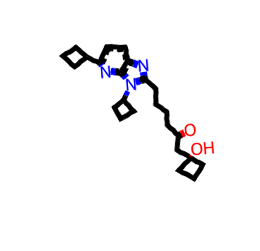 O=C(CCCCc1nc2ccc(C3CCC3)nc2n1C1CCC1)CC1(O)CCC1